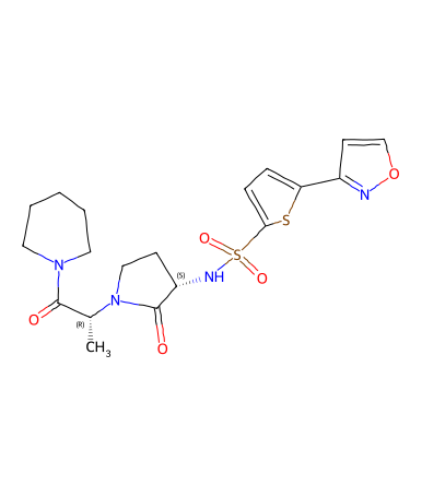 C[C@H](C(=O)N1CCCCC1)N1CC[C@H](NS(=O)(=O)c2ccc(-c3ccon3)s2)C1=O